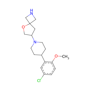 COc1ccc(Cl)cc1C1CCN(C2COC3(CNC3)C2)CC1